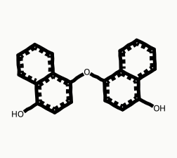 Oc1ccc(Oc2ccc(O)c3ccccc23)c2ccccc12